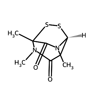 CN1C(=O)C2(C)SS[C@H]1CC(=O)N2C